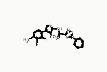 Cc1ccc(-c2csc(NC(=O)c3nnn(-c4ccccc4)n3)c2C(=O)O)c(F)c1F